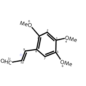 COc1cc(OC)c(OC)cc1/C=C/[C]=O